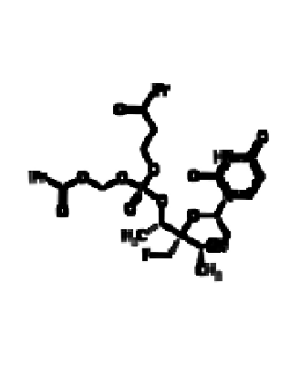 CC(C)C(=O)CCOP(=O)(OCOC(=O)C(C)C)O[C@@H](C)[C@@](CF)(O[C@H](CN=O)n1ccc(=O)[nH]c1=O)[C@H](C)O